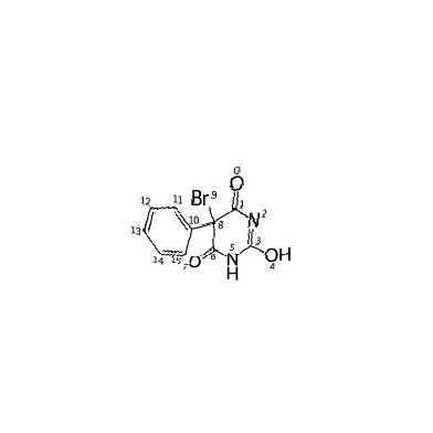 O=C1N=C(O)NC(=O)C1(Br)c1ccccc1